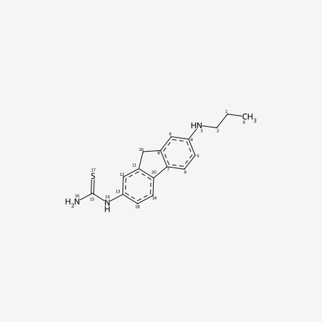 CCCNc1ccc2c(c1)Cc1cc(NC(N)=S)ccc1-2